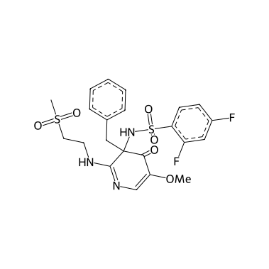 COC1=CN=C(NCCS(C)(=O)=O)C(Cc2ccccc2)(NS(=O)(=O)c2ccc(F)cc2F)C1=O